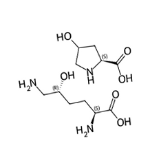 NC[C@H](O)CC[C@H](N)C(=O)O.O=C(O)[C@@H]1CC(O)CN1